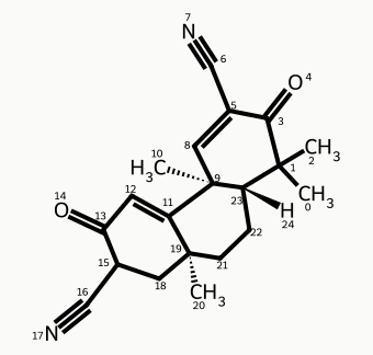 CC1(C)C(=O)C(C#N)=C[C@]2(C)C3=CC(=O)C(C#N)C[C@]3(C)CC[C@@H]12